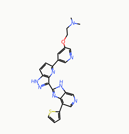 CN(C)CCOc1cncc(-c2ccc3[nH]nc(-c4nc5c(-c6cccs6)cncc5[nH]4)c3n2)c1